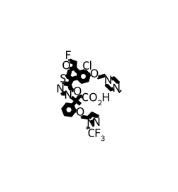 CN1CCN(CCOc2ccc3c(c2Cl)c2cc(F)oc2c2sc4ncnc(OC(C(=O)O)C(C)(C)c5ccccc5OCc5ccnn5CC(F)(F)F)c4c32)CC1